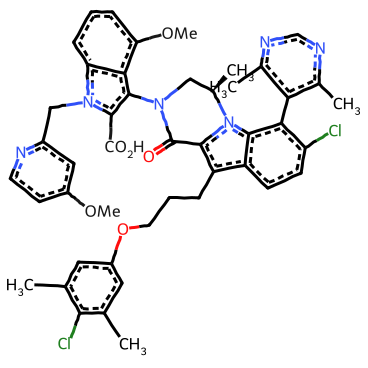 COc1ccnc(Cn2c(C(=O)O)c(N3C[C@@H](C)n4c(c(CCCOc5cc(C)c(Cl)c(C)c5)c5ccc(Cl)c(-c6c(C)ncnc6C)c54)C3=O)c3c(OC)cccc32)c1